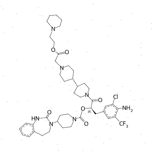 Nc1c(Cl)cc(C[C@@H](OC(=O)N2CCC(N3CCc4ccccc4NC3=O)CC2)C(=O)N2CCC(C3CCN(CC(=O)OCCN4CCCCC4)CC3)CC2)cc1C(F)(F)F